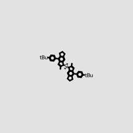 CC1=Cc2c(cc3c(c2-c2ccc(C(C)(C)C)cc2)CCC3)C1[Si](C)(C)C1C(C)=Cc2c1cc1c(c2-c2ccc(C(C)(C)C)cc2)CCC1